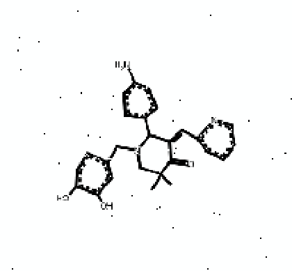 CC1(C)CN(Cc2ccc(O)c(O)c2)C(c2ccc(N)cc2)C(=Cc2ccccn2)C1=O